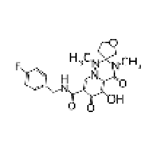 CN1C(=O)c2c(O)c(=O)c(C(=O)NCc3ccc(F)cc3)cn2N(C)C12CCOC2